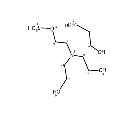 CCCCCCCCCCCCO.O=S(=O)(O)OCCN(CCO)CCO